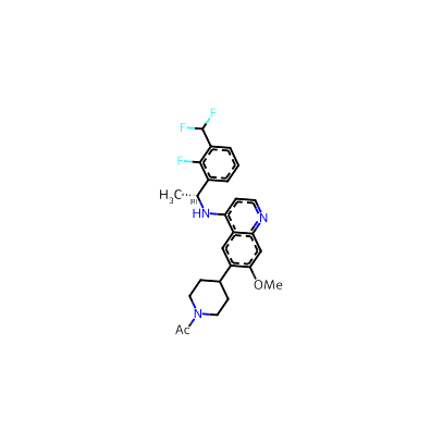 COc1cc2nccc(N[C@H](C)c3cccc(C(F)F)c3F)c2cc1C1CCN(C(C)=O)CC1